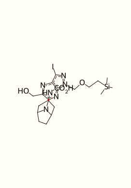 C[Si](C)(C)CCOCn1nc(I)c2nc(CO)c(N3C4CCC3CC(NC(=O)O)C4)nc21